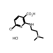 CN(C)CCNc1nc(Cl)ccc1C(=O)O.Cl